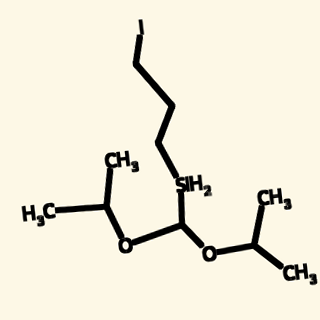 CC(C)OC(OC(C)C)[SiH2]CCCI